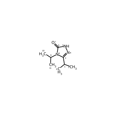 CC(C)c1n[nH]c(=O)n1C(C)C